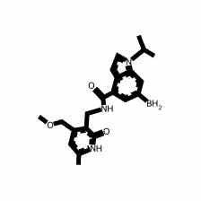 Bc1cc(C(=O)NCc2c(COC)cc(C)[nH]c2=O)c2ccn(C(C)C)c2c1